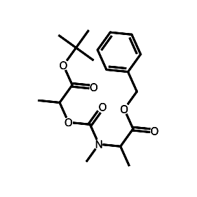 CC(OC(=O)N(C)C(C)C(=O)OCc1ccccc1)C(=O)OC(C)(C)C